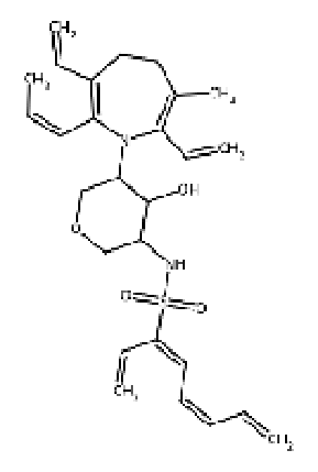 C=C/C=C\C=C(/C=C)S(=O)(=O)NC1COCC(N2C(C=C)=C(C)CCC(C=C)=C2/C=C\C)C1O